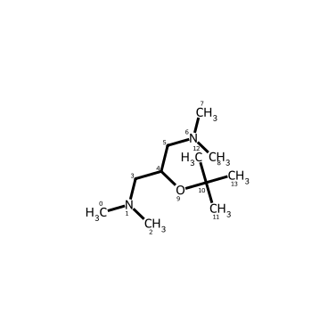 CN(C)CC(CN(C)C)OC(C)(C)C